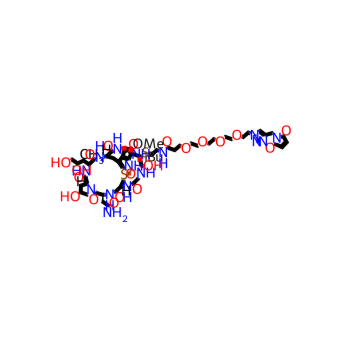 CC[C@H](C)[C@H]1NC(=O)CNC(=O)[C@@H]2Cc3c([nH]c4c(CSCCNC(=O)CCOCCOCCOCCOCCn5cc(CN6C(=O)C=CC6=O)nn5)c(OC)ccc34)[S+]([O-])C[C@H](NC(=O)CNC1O)C(=O)N[C@@H](CC(N)=O)C(=O)N1C[C@H](O)C[C@@H]1C(=O)N[C@@H]([C@@H](C)[C@@H](O)CO)C(=O)N2